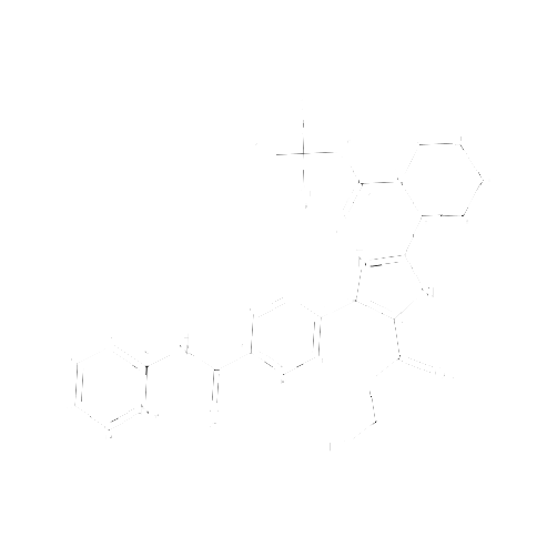 CCOC(=O)c1[nH]c(C2CCCCN2C(=O)OC(C)(C)C)nc1-c1ccc(C(=O)Nc2ccccn2)cc1